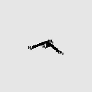 CCCCCCCCCCCCNCC(C)N(CCCCCCCCCCCC)CC(C)N